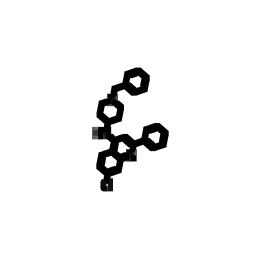 Clc1ccc2c(NC3CCN(Cc4ccccc4)CC3)cc(-c3ccccc3)nc2c1